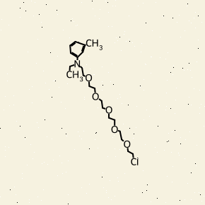 CCN(CCOCCOCCOCCOCCOCCCl)c1cccc(C)c1